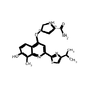 Cc1c(O)ccc2c(O[C@H]3CN[C@H](C(N)=O)C3)cc(-c3nc(C(C)C)cs3)nc12